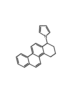 c1ccc2c(c1)ccc1c3c(ccc12)C(n1cccc1)CCC3